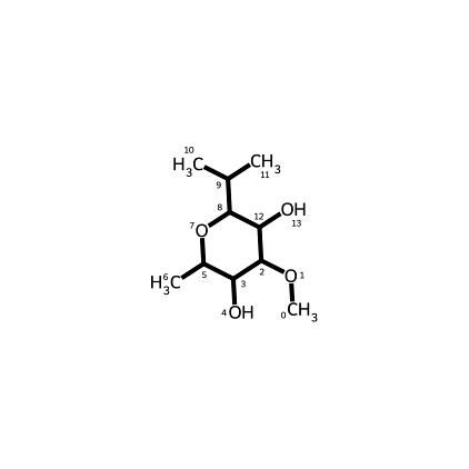 COC1C(O)C(C)OC(C(C)C)C1O